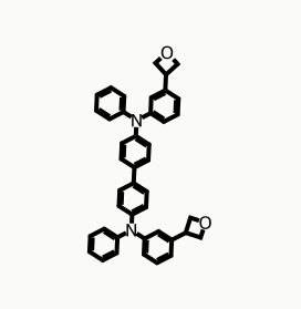 c1ccc(N(c2ccc(-c3ccc(N(c4ccccc4)c4cccc(C5COC5)c4)cc3)cc2)c2cccc(C3COC3)c2)cc1